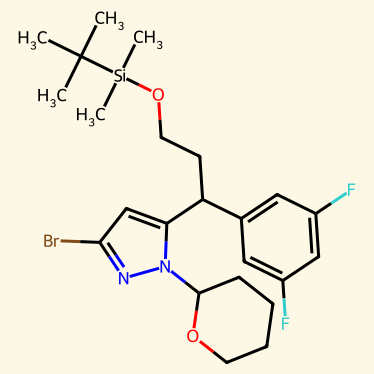 CC(C)(C)[Si](C)(C)OCCC(c1cc(F)cc(F)c1)c1cc(Br)nn1C1CCCCO1